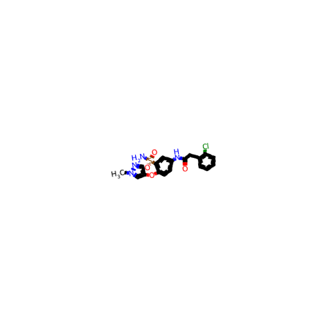 Cn1cc(Oc2ccc(NC(=O)Cc3ccccc3Cl)cc2S(N)(=O)=O)cn1